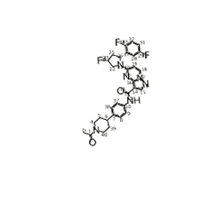 CC(=O)N1CCC(c2ccc(NC(=O)c3cnn4ccc(N5C[C@@H](F)C[C@@H]5c5cc(F)ccc5F)nc34)cc2)CC1